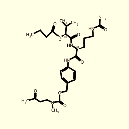 CCCC(=O)N[C@H](C(=O)N[C@@H](CCCNC(N)=O)C(=O)Nc1ccc(COC(=O)N(C)CCC(C)=O)cc1)C(C)C